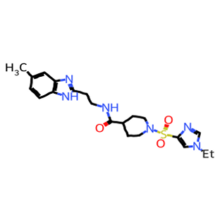 CCn1cnc(S(=O)(=O)N2CCC(C(=O)NCCc3nc4cc(C)ccc4[nH]3)CC2)c1